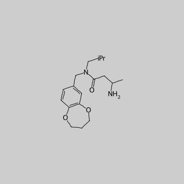 CC(C)CN(Cc1ccc2c(c1)OCCCO2)C(=O)CC(C)N